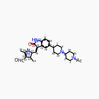 CC(=O)N1CCC(N2CCC(c3ccc4c(c3)/C(=C/C3NC(C)=C(C=O)C3C)C(=O)N4)CC2)CC1